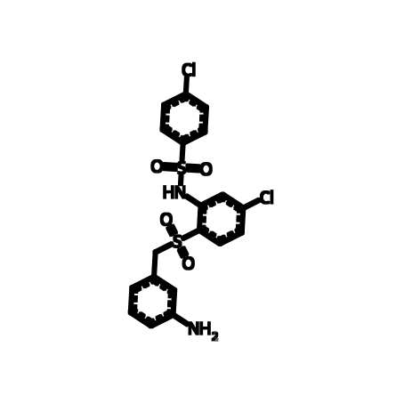 Nc1cccc(CS(=O)(=O)c2ccc(Cl)cc2NS(=O)(=O)c2ccc(Cl)cc2)c1